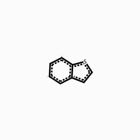 [c]1c[c]c2sccc2c1